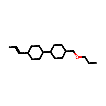 CC=CC1CCC(C2CCC(COCCC)CC2)CC1